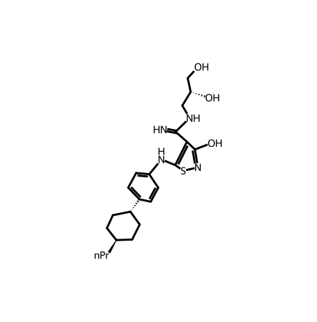 CCC[C@H]1CC[C@H](c2ccc(Nc3snc(O)c3C(=N)NC[C@@H](O)CO)cc2)CC1